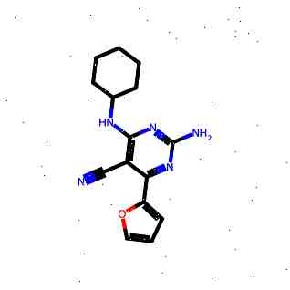 N#Cc1c(NC2CCCCC2)nc(N)nc1-c1ccco1